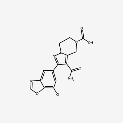 NC(=O)c1c(-c2cc(Cl)c3ocnc3c2)nn2c1CN(C(=O)O)CC2